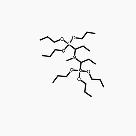 CCCO[Si](OCCC)(OCCC)C(CC)N(C)C(CC)[Si](OCCC)(OCCC)OCCC